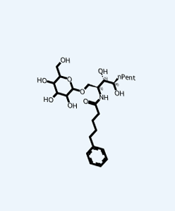 CCCCC[C@@H](O)[C@@H](O)[C@H](COC1OC(CO)C(O)C(O)C1O)NC(=O)CCCCc1ccccc1